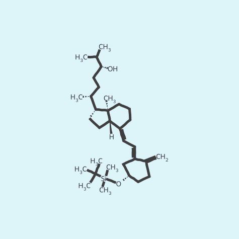 C=C1CC[C@H](O[Si](C)(C)C(C)(C)C)C/C1=C\C=C1/CCC[C@]2(C)[C@@H]([C@H](C)CC[C@@H](O)C(C)C)CC[C@@H]12